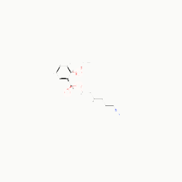 NCCCCCCOC(=O)c1ccccc1OC(F)(F)F